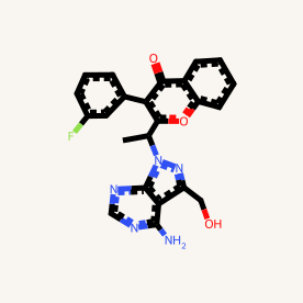 CC(c1oc2ccccc2c(=O)c1-c1cccc(F)c1)n1nc(CO)c2c(N)ncnc21